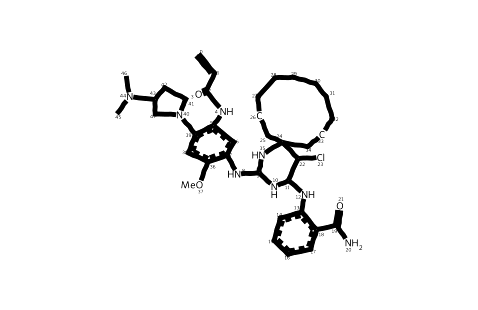 C=CC(=O)Nc1cc(NC2NC(Nc3ccccc3C(N)=O)C(Cl)C3(CCCCCCCCCC3)N2)c(OC)cc1N1CCC(N(C)C)C1